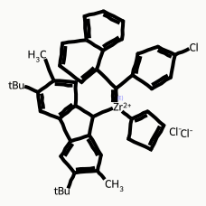 Cc1cc2c(cc1C(C)(C)C)-c1cc(C(C)(C)C)c(C)cc1[CH]2/[Zr+2]([C]1=CC=CC1)=[C](/c1ccc(Cl)cc1)c1cccc2ccccc12.[Cl-].[Cl-]